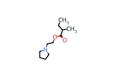 CCC(C)C(=O)OCCN1CCCC1